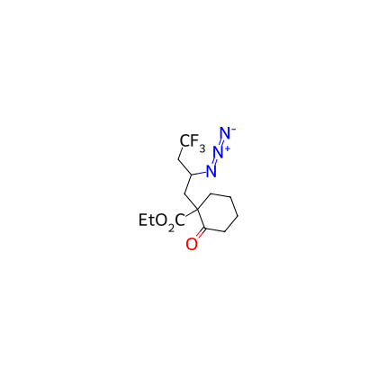 CCOC(=O)C1(CC(CC(F)(F)F)N=[N+]=[N-])CCCCC1=O